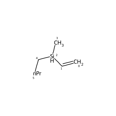 C=C[SiH](C)CCCC